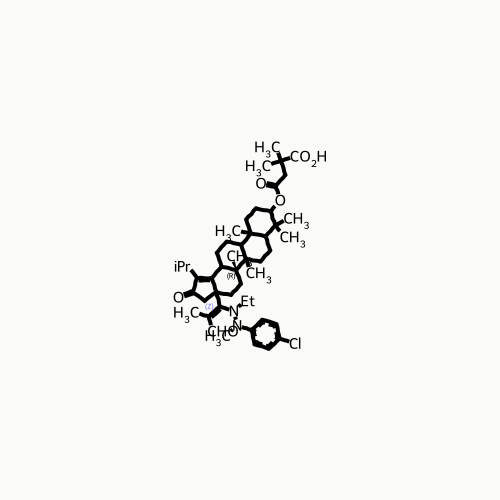 CCN(/C(=C(/C)C=O)C12CC[C@]3(C)C(CCC4C5(C)CCC(OC(=O)CC(C)(C)C(=O)O)C(C)(C)C5CCC43C)C1=C(C(C)C)C(=O)C2)N(C)c1ccc(Cl)cc1